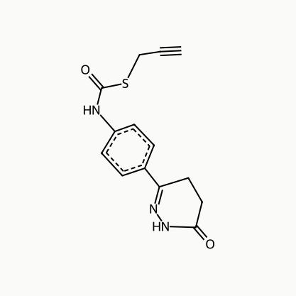 C#CCSC(=O)Nc1ccc(C2=NNC(=O)CC2)cc1